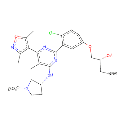 CCOC(=O)N1CC[C@@H](Nc2nc(-c3cc(OC[C@H](O)CNC)ccc3Cl)nc(-c3c(C)noc3C)c2C)C1